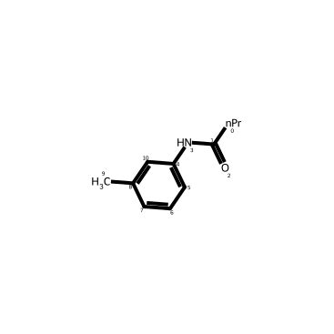 CCCC(=O)Nc1cccc(C)c1